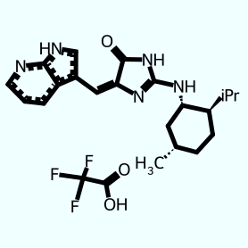 CC(C)[C@H]1CC[C@H](C)C[C@@H]1NC1=NC(=Cc2c[nH]c3ncccc23)C(=O)N1.O=C(O)C(F)(F)F